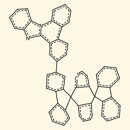 c1ccc2c(c1)-c1ccccc1C21c2ccccc2C2(c3ccccc3-c3ccc(-c4ccc5c6ccccc6n6c7ccccc7nc6c5c4)cc32)c2ccccc21